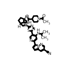 CC(=O)N1CCC(C(=O)N[C@@H]2[C@@H]3CC[C@H]2CN(c2nnc(-c4cnc(-c5ccc6cc(C#N)cnn56)cc4NC(C)C)s2)C3)CC1